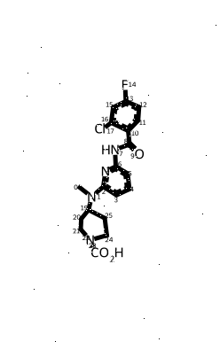 CN(c1cccc(NC(=O)c2ccc(F)cc2Cl)n1)C1CCN(C(=O)O)CC1